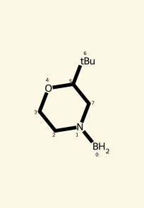 BN1CCOC(C(C)(C)C)C1